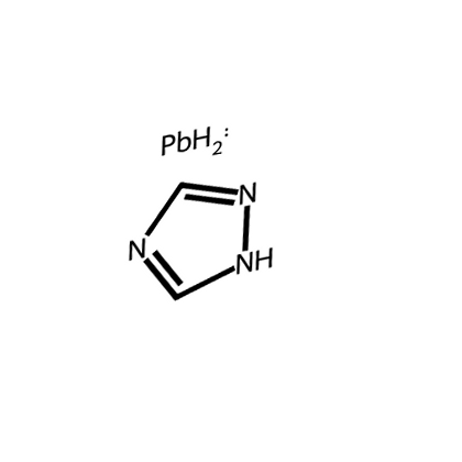 [PbH2].c1nc[nH]n1